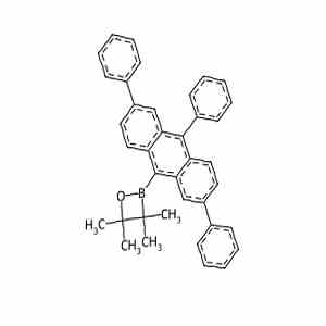 CC1(C)OB(c2c3cc(-c4ccccc4)ccc3c(-c3ccccc3)c3cc(-c4ccccc4)ccc23)C1(C)C